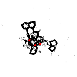 CC(C)[Si](C#Cc1cccc2cccc(-c3nc4c5c(nc(OC[C@@]67CCCN6C[C@H](F)C7)nc5c3F)N3C[C@H]5CC[C@@H]([C@H]3CO4)N5C(=O)OC(C)(C)C)c12)(C(C)C)C(C)C